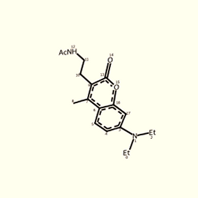 CCN(CC)c1ccc2c(C)c(CCNC(C)=O)c(=O)oc2c1